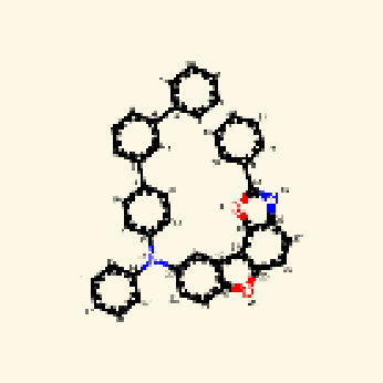 c1ccc(-c2cccc(-c3ccc(N(c4ccccc4)c4ccc5oc6ccc7nc(-c8ccccc8)oc7c6c5c4)cc3)c2)cc1